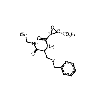 CCOC(=O)[C@H]1O[C@@H]1C(=O)NC(CSCc1ccccc1)C(=O)NCC(C)(C)C